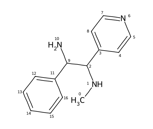 CNC(c1ccncc1)C(N)c1ccccc1